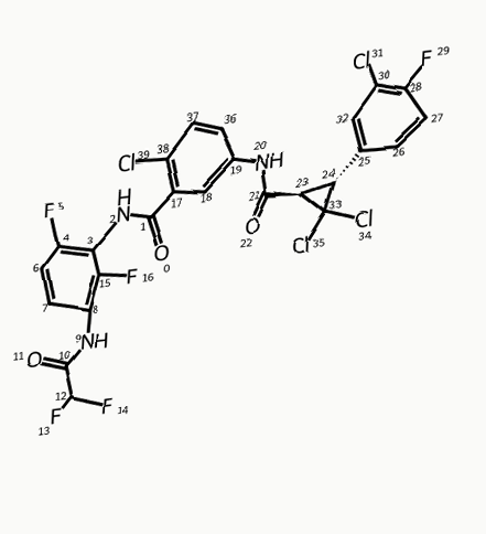 O=C(Nc1c(F)ccc(NC(=O)C(F)F)c1F)c1cc(NC(=O)[C@H]2[C@H](c3ccc(F)c(Cl)c3)C2(Cl)Cl)ccc1Cl